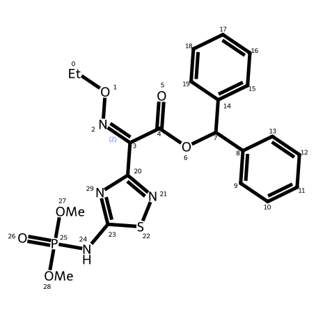 CCO/N=C(\C(=O)OC(c1ccccc1)c1ccccc1)c1nsc(NP(=O)(OC)OC)n1